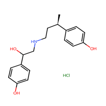 C[C@H](CCNCC(O)c1ccc(O)cc1)c1ccc(O)cc1.Cl